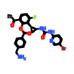 CCC(=O)c1ccc(F)c([C@@H]2C[C@@H]2NC(=O)Nc2ccc(Br)cn2)c1OC(=O)c1ccc(CN)cc1